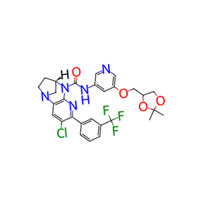 CC1(C)OCC(COc2cncc(NC(=O)N3c4nc(-c5cccc(C(F)(F)F)c5)c(Cl)cc4N4CC[C@H]3C4)c2)O1